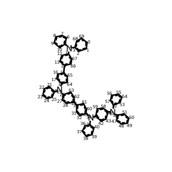 c1ccc(N(c2ccccc2)c2ccc(-c3ccc(N(c4ccccc4)c4ccc(-c5ccc(N(c6ccccc6)c6ccc(N(c7ccccc7)c7ccccc7)cc6)cc5)cc4)cc3)cc2)cc1